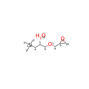 C[Si](C)(C)CCCOCC1CO1.O